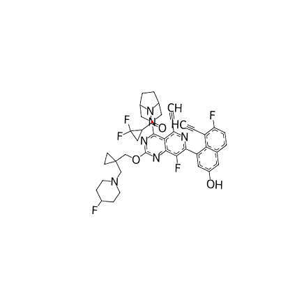 C#Cc1c(F)ccc2cc(O)cc(-c3nc(C#C)c4c(N5CC6CCC(C5)N6C(=O)C5CC5(F)F)nc(OCC5(CN6CCC(F)CC6)CC5)nc4c3F)c12